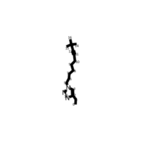 CCc1cn(CCCCCCC#CC(C)(C)C)nn1